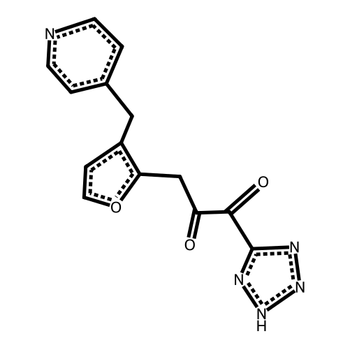 O=C(Cc1occc1Cc1ccncc1)C(=O)c1nn[nH]n1